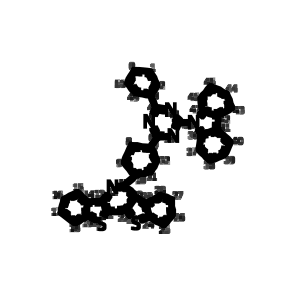 c1ccc(-c2nc(-c3ccc(-c4nc5c6ccccc6sc5c5sc6ccccc6c45)cc3)nc(-n3c4ccccc4c4ccccc43)n2)cc1